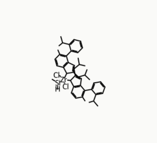 Cc1ccc2c(c1-c1ccccc1C(C)C)C=C(CC(C)C)[CH]2[Zr]([Cl])([Cl])([CH]1C(CC(C)C)=Cc2c1ccc(C)c2-c1ccccc1C(C)C)[SiH](C)C